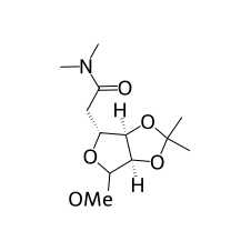 COC1O[C@H](CC(=O)N(C)C)[C@H]2OC(C)(C)O[C@@H]12